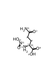 NC(=O)CC[C@H](N)C(=O)O.O=NO